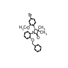 COc1cc(Br)ccc1[C@@H]1N(c2ccccc2OCc2ccccc2)C(=O)C1(C)C